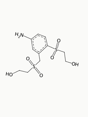 Nc1ccc(S(=O)(=O)CCO)c(CS(=O)(=O)CCO)c1